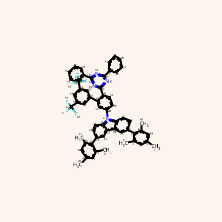 Cc1cc(C)c(-c2ccc3c(c2)c2cc(-c4c(C)cc(C)cc4C)ccc2n3-c2ccc(-c3nc(-c4ccccc4)nc(-c4ccccc4)n3)c(-c3cc(C(F)(F)F)cc(C(F)(F)F)c3)c2)c(C)c1